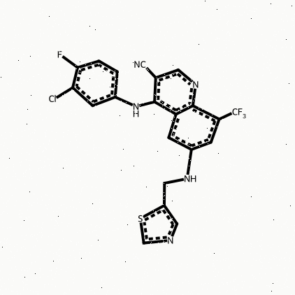 N#Cc1cnc2c(C(F)(F)F)cc(NCc3cncs3)cc2c1Nc1ccc(F)c(Cl)c1